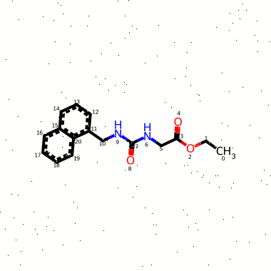 CCOC(=O)CNC(=O)NCc1cccc2ccccc12